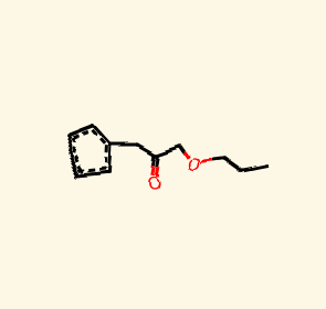 CCCOCC(=O)Cc1ccccc1